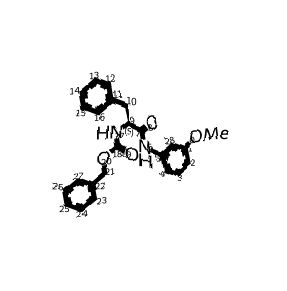 COc1cccc(NC(=O)[C@H](Cc2ccccc2)NC(=O)OCc2ccccc2)c1